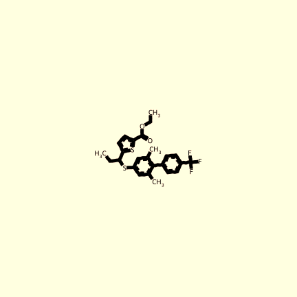 CCOC(=O)c1ccc(C(CC)Sc2cc(C)c(-c3ccc(C(F)(F)F)cc3)c(C)c2)s1